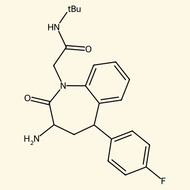 CC(C)(C)NC(=O)CN1C(=O)C(N)CC(c2ccc(F)cc2)c2ccccc21